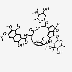 COc1c(OC(C)C)cc2cc(O)c(C(=O)NC3Cc4ccc(c(Cl)n4)O[C@@H]4C=C5C(=C[C@@H]6OC56[C@@H]4O[C@H]4C[C@@](C)(O)C(O)[C@H](C)O4)C(O[C@H]4C[C@H](O)[C@H](N(C)C)[C@H](C)O4)COC3=O)cc2c1OC